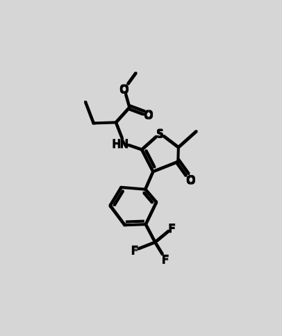 CCC(NC1=C(c2cccc(C(F)(F)F)c2)C(=O)C(C)S1)C(=O)OC